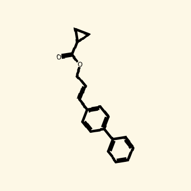 O=C(OCC=Cc1ccc(-c2ccccc2)cc1)C1CC1